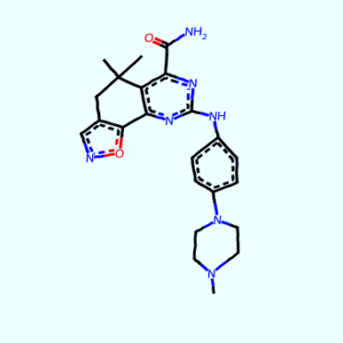 CN1CCN(c2ccc(Nc3nc(C(N)=O)c4c(n3)-c3oncc3CC4(C)C)cc2)CC1